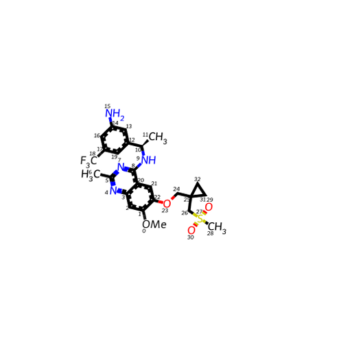 COc1cc2nc(C)nc(N[C@H](C)c3cc(N)cc(C(F)(F)F)c3)c2cc1OCC1(CS(C)(=O)=O)CC1